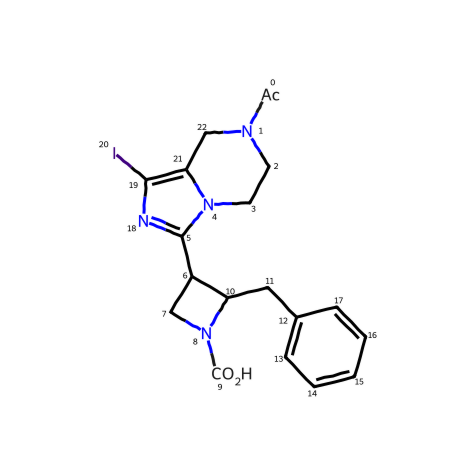 CC(=O)N1CCn2c(C3CN(C(=O)O)C3Cc3ccccc3)nc(I)c2C1